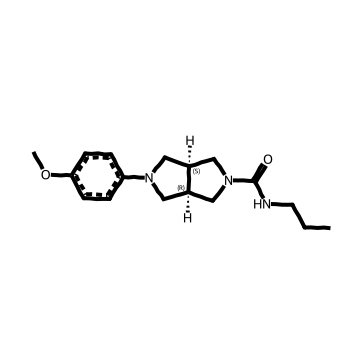 CCCNC(=O)N1C[C@@H]2CN(c3ccc(OC)cc3)C[C@@H]2C1